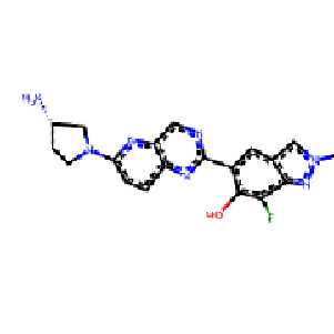 Cn1cc2cc(-c3ncc4nc(N5CC[C@H](N)C5)ccc4n3)c(O)c(F)c2n1